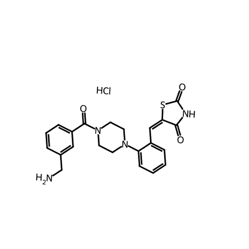 Cl.NCc1cccc(C(=O)N2CCN(c3ccccc3/C=C3/SC(=O)NC3=O)CC2)c1